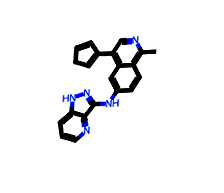 Cc1ncc(C2=CCC=C2)c2cc(Nc3n[nH]c4cccnc34)ccc12